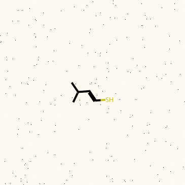 CC(C)/C=C/S